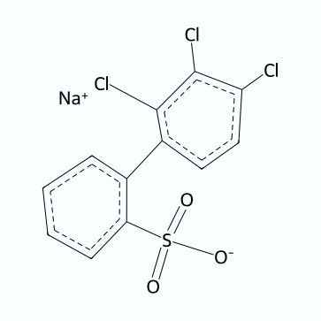 O=S(=O)([O-])c1ccccc1-c1ccc(Cl)c(Cl)c1Cl.[Na+]